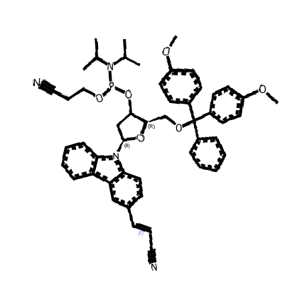 COc1ccc(C(OC[C@H]2O[C@@H](n3c4ccccc4c4cc(/C=C/C#N)ccc43)CC2OP(OCCC#N)N(C(C)C)C(C)C)(c2ccccc2)c2ccc(OC)cc2)cc1